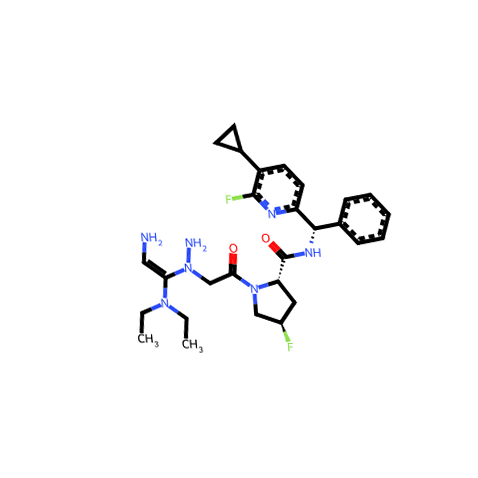 CCN(CC)/C(=C/N)N(N)CC(=O)N1C[C@H](F)C[C@H]1C(=O)N[C@@H](c1ccccc1)c1ccc(C2CC2)c(F)n1